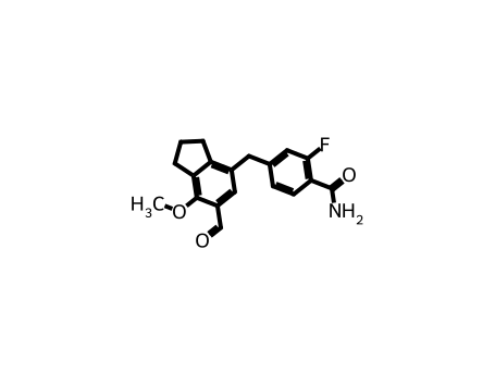 COc1c(C=O)cc(Cc2ccc(C(N)=O)c(F)c2)c2c1CCC2